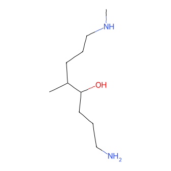 CNCCCC(C)C(O)CCCN